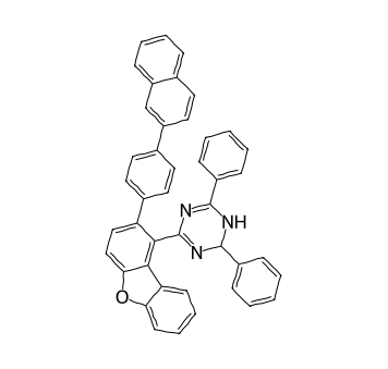 c1ccc(C2=NC(c3c(-c4ccc(-c5ccc6ccccc6c5)cc4)ccc4oc5ccccc5c34)=NC(c3ccccc3)N2)cc1